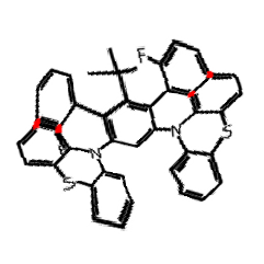 CC(C)(C)c1c(-c2ccccc2F)c(N2c3ccccc3Sc3ccccc32)cc(N2c3ccccc3Sc3ccccc32)c1-c1ccccc1F